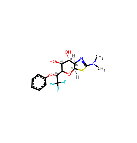 CN(C)C1=N[C@@H]2[C@@H](O)[C@H](O)C([C@H](Oc3ccccc3)C(F)(F)F)O[C@@H]2S1